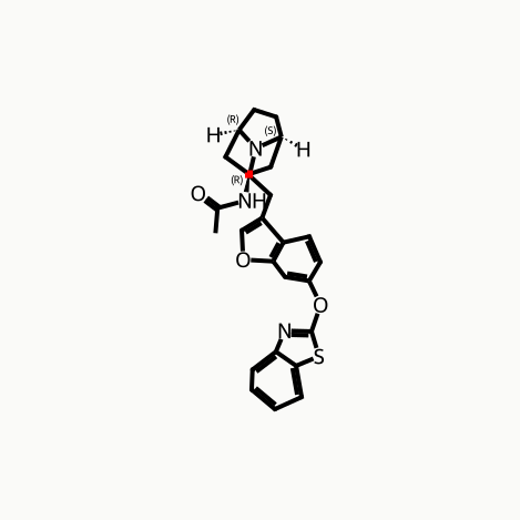 CC(=O)N[C@H]1C[C@H]2CC[C@@H](C1)N2CCc1coc2cc(Oc3nc4ccccc4s3)ccc12